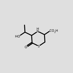 CC(O)C1NC(C(=O)O)CSC1=O